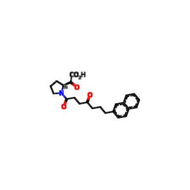 O=C(CCCc1ccc2ccccc2c1)CCC(=O)N1CCC[C@H]1C(=O)C(=O)O